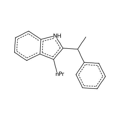 CCCc1c(C(C)c2ccccc2)[nH]c2ccccc12